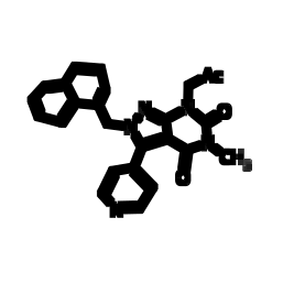 CC(=O)Cn1c(=O)n(C)c(=O)c2c(-c3ccncc3)n(Cc3cccc4ccccc34)nc21